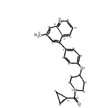 Cc1cc(-c2ccc(OC3CCN(C(=O)C4CC4)CC3)cc2)c2cccnc2c1